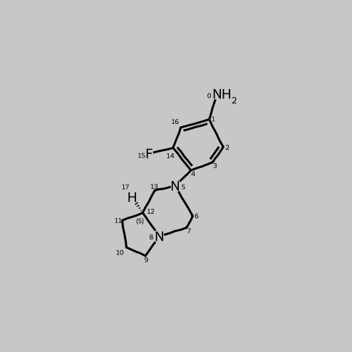 Nc1ccc(N2CCN3CCC[C@H]3C2)c(F)c1